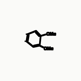 COc1c[c][c]cc1OC